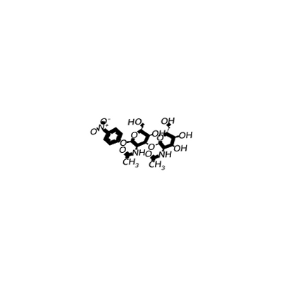 CC(=O)N[C@H]1[C@H](O[C@H]2[C@@H](O)[C@@H](CO)O[C@H](Oc3ccc([N+](=O)[O-])cc3)[C@@H]2NC(C)=O)O[C@H](CO)[C@@H](O)[C@@H]1O